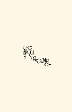 O=C(O)c1cc2ccc(N3CCC(C=Cc4c(-c5c(Cl)cccc5Cl)noc4C4CC4)CC3)cc2cn1